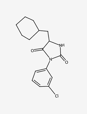 O=C1NC(CC2CCCCC2)C(=O)N1c1cccc(Cl)c1